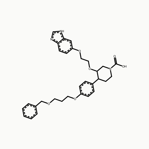 O=C(O)N1CCC(c2ccc(OCCCOCc3ccccc3)cc2)C(OCCOc2ccc3nc[nH]c3c2)C1